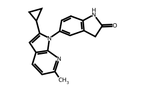 Cc1ccc2cc(C3CC3)n(-c3ccc4c(c3)CC(=O)N4)c2n1